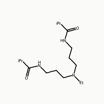 CCN(CCCNC(=O)C(C)C)CCCNC(=O)C(C)C